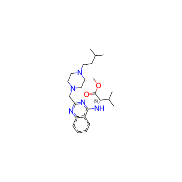 COC(=O)[C@@H](Nc1nc(CN2CCN(CCC(C)C)CC2)nc2ccccc12)C(C)C